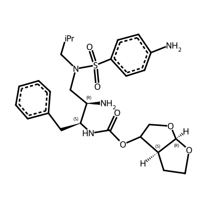 CC(C)CN(C[C@@H](N)[C@H](Cc1ccccc1)NC(=O)OC1CO[C@H]2OCC[C@@H]12)S(=O)(=O)c1ccc(N)cc1